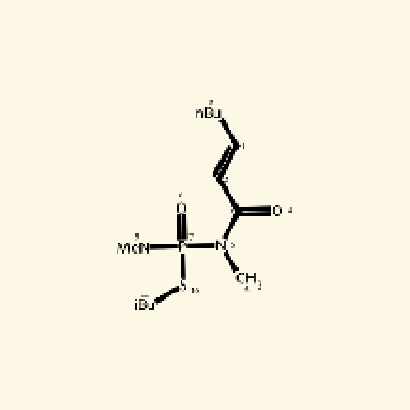 CCCCC=CC(=O)N(C)P(=O)(NC)SC(C)CC